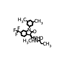 CCC(=O)NN/C(C)=C1\C(=O)N(c2cc(C)cc(C)c2)c2cc(C(F)(F)F)ccc21